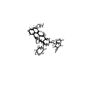 C#Cc1cccc2cc(O)cc(-c3ncc4c(N5CCCOCC5)nc(OC[C@@]56CCCN5C[C@H](F)C6)nc4c3F)c12